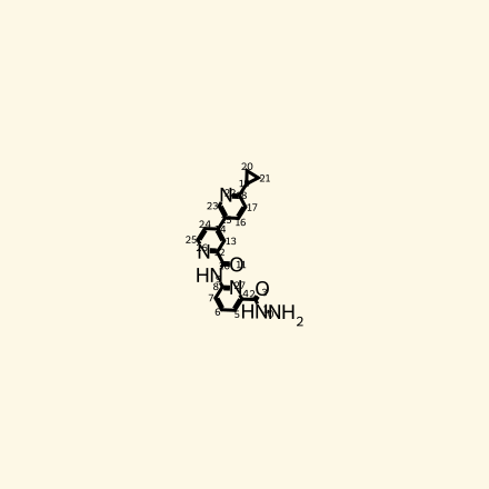 NNC(=O)c1cccc(NC(=O)c2cc(-c3ccc(C4CC4)nc3)ccn2)n1